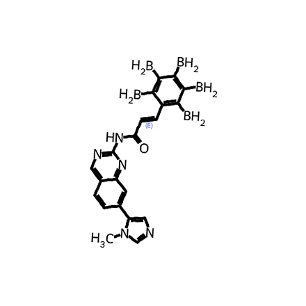 Bc1c(B)c(B)c(/C=C/C(=O)Nc2ncc3ccc(-c4cncn4C)cc3n2)c(B)c1B